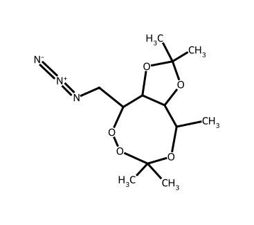 CC1OC(C)(C)OOC(CN=[N+]=[N-])C2OC(C)(C)OC12